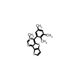 Cc1cc(C)c(C)c(-c2c3sc4ccsc4c3nc[n+]2C)c1